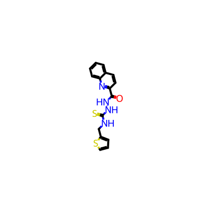 O=C(NNC(=S)NCc1cccs1)c1ccc2ccccc2n1